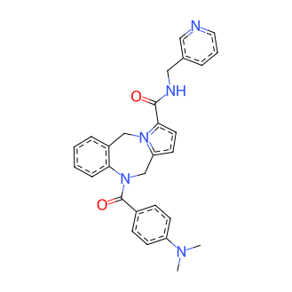 CN(C)c1ccc(C(=O)N2Cc3ccc(C(=O)NCc4cccnc4)n3Cc3ccccc32)cc1